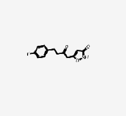 O=C(CCc1ccc(F)cc1)Cc1cc(=O)[nH]o1